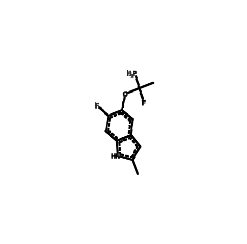 Cc1cc2cc(OC(C)(F)P)c(F)cc2[nH]1